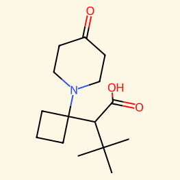 CC(C)(C)C(C(=O)O)C1(N2CCC(=O)CC2)CCC1